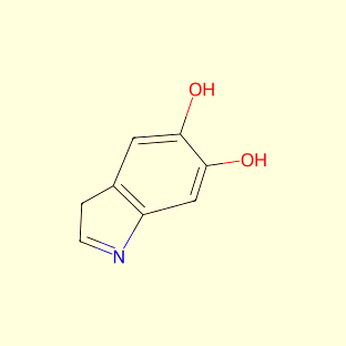 Oc1cc2c(cc1O)N=CC2